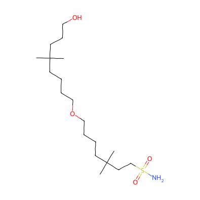 CC(C)(CCCO)CCCCOCCCCC(C)(C)CCS(N)(=O)=O